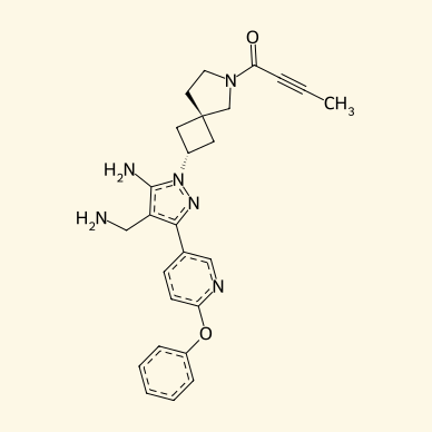 CC#CC(=O)N1CC[C@]2(C1)C[C@@H](n1nc(-c3ccc(Oc4ccccc4)nc3)c(CN)c1N)C2